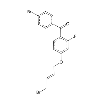 O=C(c1ccc(Br)cc1)c1ccc(OCC=CCBr)cc1F